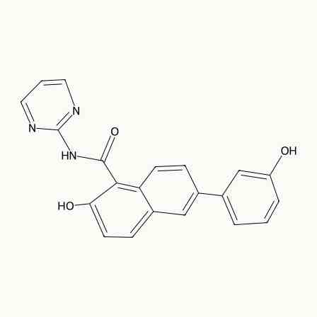 O=C(Nc1ncccn1)c1c(O)ccc2cc(-c3cccc(O)c3)ccc12